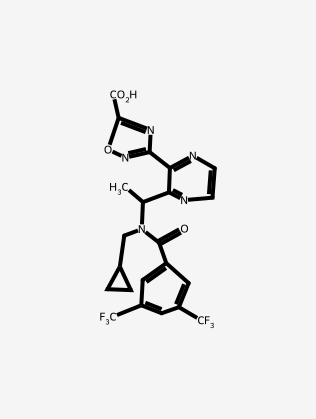 CC(c1nccnc1-c1noc(C(=O)O)n1)N(CC1CC1)C(=O)c1cc(C(F)(F)F)cc(C(F)(F)F)c1